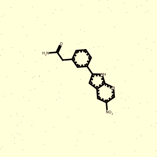 NC(=O)Cc1cccc(-c2cc3cc([N+](=O)[O-])cnc3[nH]2)c1